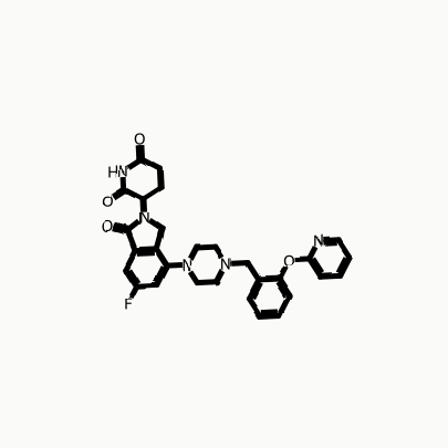 O=C1CCC(N2Cc3c(cc(F)cc3N3CCN(Cc4ccccc4Oc4ccccn4)CC3)C2=O)C(=O)N1